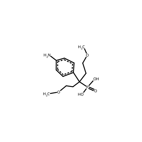 COCCC(CCOC)(c1ccc(N)cc1)P(=O)(O)O